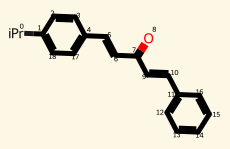 CC(C)c1ccc(C=CC(=O)C=Cc2ccccc2)cc1